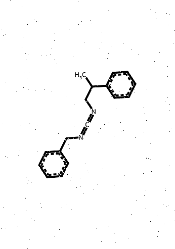 CC(CN=C=NCc1ccccc1)c1ccccc1